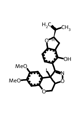 C=C(C)[C@H]1Cc2c(ccc(C3=NOC4COc5cc(OC)c(OC)cc5C34I)c2O)O1